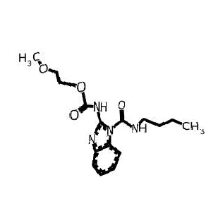 CCCCNC(=O)n1c(NC(=O)OCCOC)nc2ccccc21